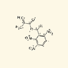 C=C(C)C(=O)OC(CC)c1c([N+](=O)[O-])ccc([N+](=O)[O-])c1[N+](=O)[O-]